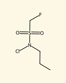 CCCN(Cl)S(=O)(=O)CF